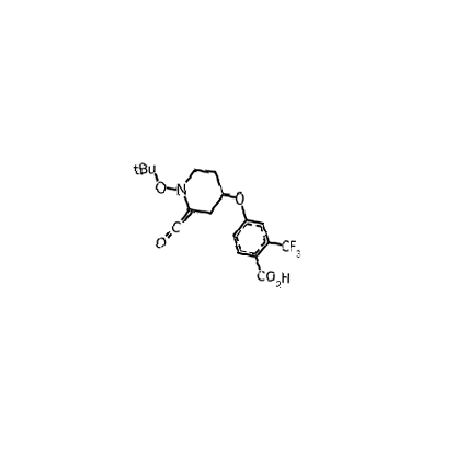 CC(C)(C)ON1CCC(Oc2ccc(C(=O)O)c(C(F)(F)F)c2)CC1=C=O